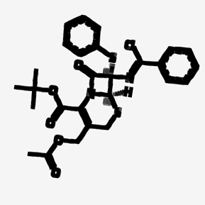 CC(=O)OCC1=C(C(=O)OC(C)(C)C)N2C(=O)[C@](N=C(Cl)c3ccccc3)(Sc3ccccc3)[C@H]2SC1